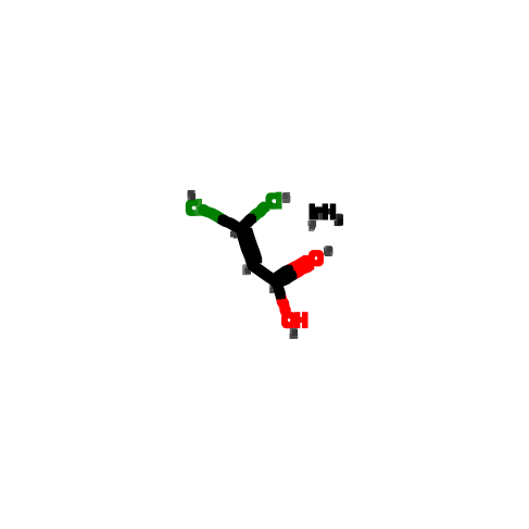 O=C(O)C=C(Cl)Cl.[InH3]